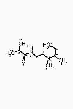 CCC(C)N(C)CCNC(=O)C(C)C